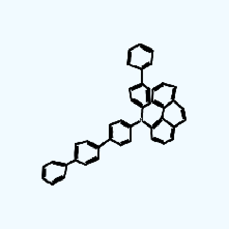 c1ccc(-c2ccc(-c3ccc(N(c4ccc(-c5ccccc5)cc4)c4cccc5ccc6ccccc6c45)cc3)cc2)cc1